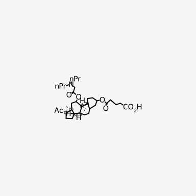 CCCN(CCC)CC(=O)OC1C[C@]2(C)[C@@H](C(C)=O)CC[C@H]2[C@@H]2CCC3CC(OC(=O)CCCC(=O)O)CC[C@]3(C)[C@@H]12